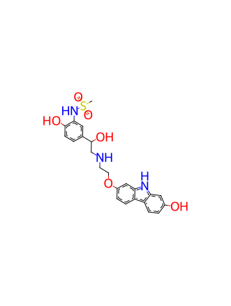 CS(=O)(=O)Nc1cc(C(O)CNCCOc2ccc3c(c2)[nH]c2cc(O)ccc23)ccc1O